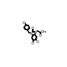 O=C(O)Cn1c(=O)n(Cc2ccc(Cl)cc2)c2cc(Cl)c(Cl)cc21